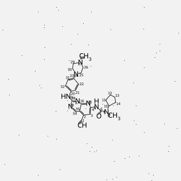 C#Cc1cc(NC(=O)N(C)C2CCCC2)nc2nc(Nc3ccc(N4CCN(C)CC4)cc3)ncc12